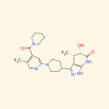 O=C1Nc2[nH]nc(C3CCN(c4cc(C(=O)N5CCCCC5)c(C(F)(F)F)cn4)CC3)c2[C@H](C(F)(F)F)[C@@H]1O